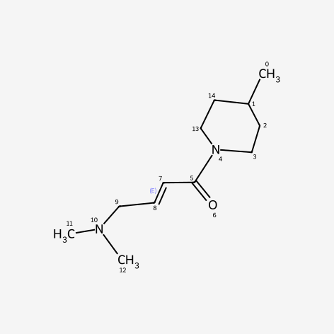 CC1CCN(C(=O)/C=C/CN(C)C)CC1